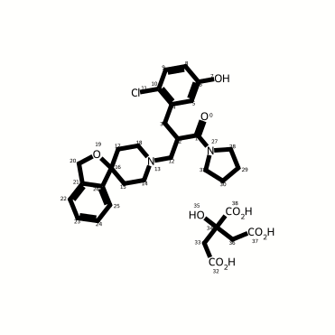 O=C(C(Cc1cc(O)ccc1Cl)CN1CCC2(CC1)OCc1ccccc12)N1CCCC1.O=C(O)CC(O)(CC(=O)O)C(=O)O